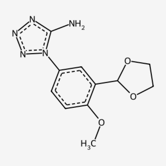 COc1ccc(-n2nnnc2N)cc1C1OCCO1